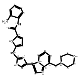 Nc1ccccc1NC(=O)c1ccc(Nc2nc(-c3cnc4c(CN5CCOCC5)cccn34)cs2)s1